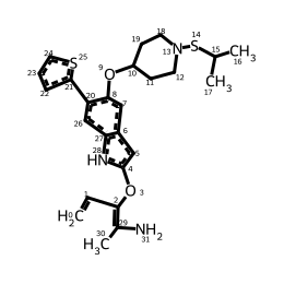 C=C/C(Oc1cc2cc(OC3CCN(SC(C)C)CC3)c(-c3cccs3)cc2[nH]1)=C(\C)N